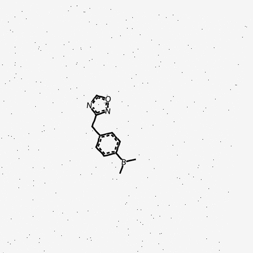 CB(C)c1ccc(Cc2ncon2)cc1